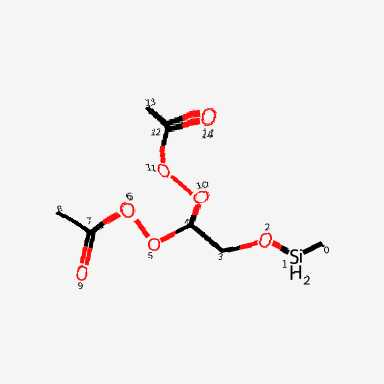 C[SiH2]OCC(OOC(C)=O)OOC(C)=O